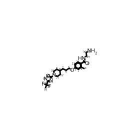 Cc1cc(OCCCC2CCN(c3nc(C(C)(F)F)no3)CC2)ccc1C(=O)NCCN